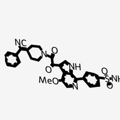 [C-]#[N+]C(=C1CCN(C(=O)C(=O)c2c[nH]c3c(-c4ccc(S(N)(=O)=O)cc4)ncc(OC)c23)CC1)c1ccccc1